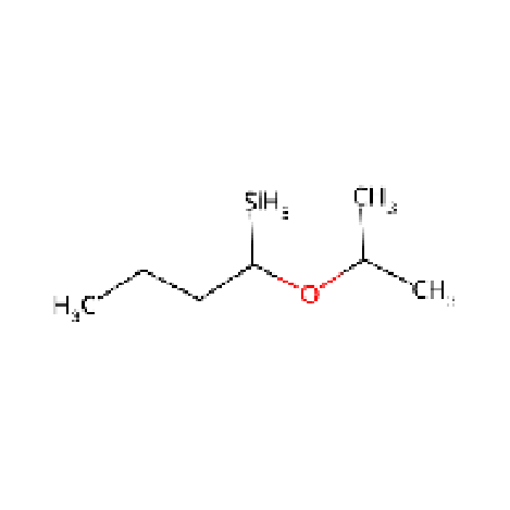 CCCC([SiH3])OC(C)C